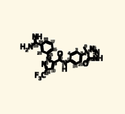 C[N+]1(c2ccc(NC(=O)c3cc(C(F)(F)F)nn3-c3cccc(C(=N)N)c3)cc2)N=NNC1=O